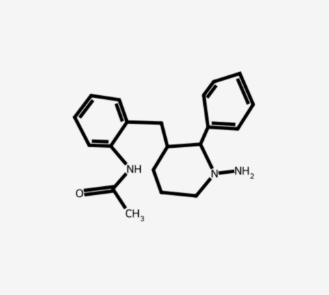 CC(=O)Nc1ccccc1CC1CCCN(N)C1c1ccccc1